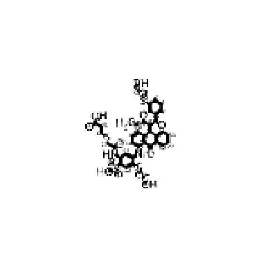 Cn1c(=O)c(C(=O)c2cccc(SOOO)c2)c2c3c(c(Nc4cc(NC(=O)CSCCC(=O)O)c(S(=O)(=O)O)cc4SOOO)ccc31)C(=O)c1ccccc1-2